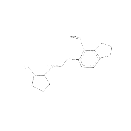 C=Nc1c(SCNC2CCCC2N)ccc2c1CCO2